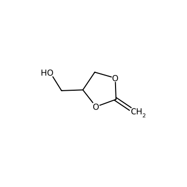 C=C1OCC(CO)O1